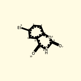 CCc1ccc2oc(=O)[nH]c(=O)c2c1